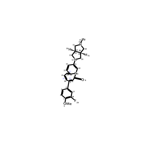 COc1ccc(C2=C\C(=O)N3C=C(N4C[C@@H]5CN(C(C)C)C[C@@H]5C4)C=C\C3=C/C=C/2)cc1F